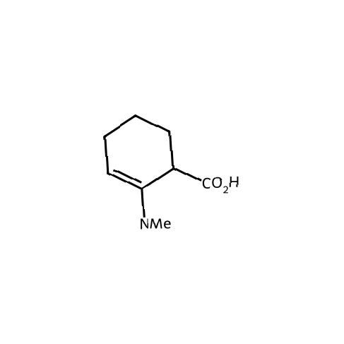 CNC1=CCCCC1C(=O)O